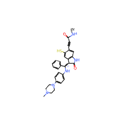 CC(C)NC(=O)C#Cc1cc2c(cc1S)/C(=C(/Nc1ccc(N3CCN(C)CC3)cc1)c1ccccc1)C(=O)N2